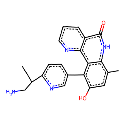 Cc1cc(O)c(-c2ccc(C(C)CN)nc2)c2c1[nH]c(=O)c1cccnc12